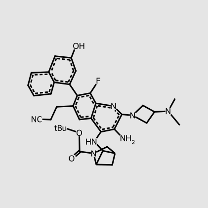 CN(C)C1CN(c2nc3c(F)c(-c4cc(O)cc5ccccc45)c(CCC#N)cc3c(NC3C4CC3N(C(=O)OC(C)(C)C)C4)c2N)C1